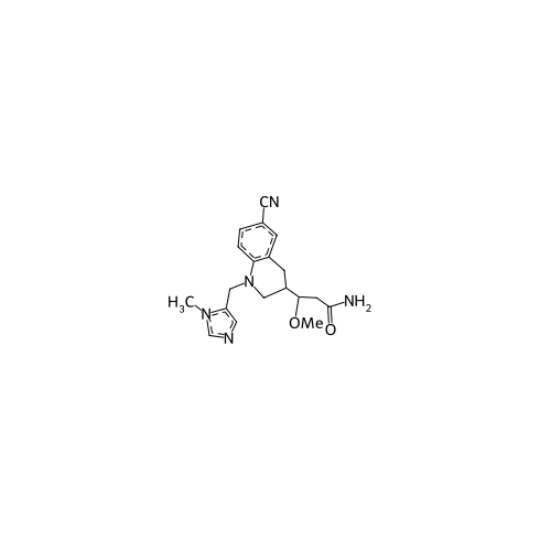 COC(CC(N)=O)C1Cc2cc(C#N)ccc2N(Cc2cncn2C)C1